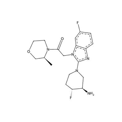 C[C@H]1COCCN1C(=O)Cn1c(N2CC[C@@H](F)[C@H](N)C2)nc2ccc(F)cc21